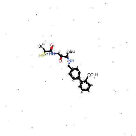 CCCCC(NCc1ccc(-c2ccccc2C(=O)O)cc1)C(=O)CNC(=O)C(S)C(C)CC